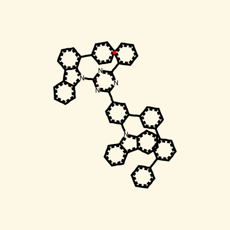 c1ccc(-c2cccc(-c3cccc(-c4cc(-c5nc(-c6ccccc6)nc(-n6c7ccccc7c7cccc(-c8ccccc8)c76)n5)ccc4-n4c5ccccc5c5ccccc54)c3)c2)cc1